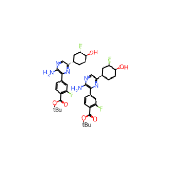 CC(C)(C)OC(=O)c1ccc(-c2nc([C@@H]3CC[C@H](O)[C@H](F)C3)cnc2N)cc1F.CC(C)(C)OC(=O)c1ccc(-c2nc([C@H]3CC[C@H](O)[C@@H](F)C3)cnc2N)cc1F